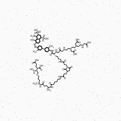 Cc1cc(-c2ccc(NC(=O)[C@@H](CCCCNC(=O)CCN3C(=O)CC(SCC(=O)NCCCCCC(=O)NC(C)CCC(=O)N[C@H](C)CCCOCN(PO)C(CCC(=O)O)C(=O)O)C3=O)NCC(=O)CNCCN(CCN(CCNCC(=O)O)CC(=O)O)CC(=O)O)c(C)c2)ccc1/N=N\c1ccc2c(S(=O)(=O)O)cc(S(=O)(=O)O)c(N)c2c1O